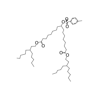 CCCCCC(CCCCC)CCOC(=O)CCCCCCCC(CCCCCCCC(=O)OCCC(CCCCC)CCCCC)OS(=O)(=O)c1ccc(C)cc1